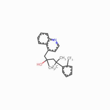 CC(O)(Cc1ccnc2ccccc12)CC(C)(c1ccccc1C(F)(F)F)C(F)(F)F